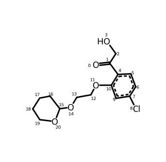 O=C(CO)c1ccc(Cl)cc1OCCOC1CCCCO1